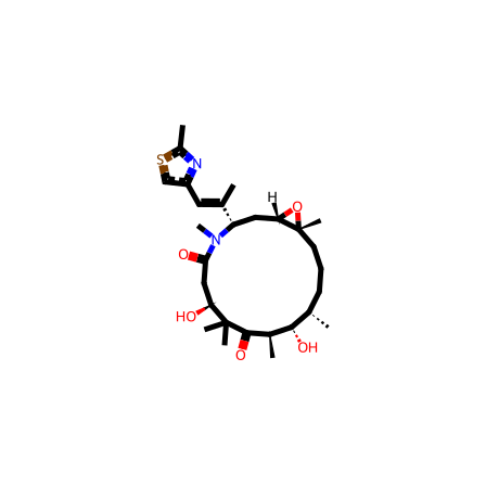 CC(=Cc1csc(C)n1)[C@@H]1C[C@@H]2O[C@]2(C)CCC[C@H](C)[C@H](O)[C@@H](C)C(=O)C(C)(C)[C@@H](O)CC(=O)N1C